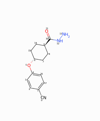 N#Cc1ccc(O[C@H]2CC[C@H](C(=O)NN)CC2)cc1